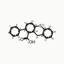 O=C(O)c1c(-c2ccccc2)ccc2c1Cc1ccccc1S2